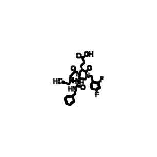 C#CCN1CC(=O)N2[C@@H](CCC(=O)O)C(=O)N(Cc3ccc(F)cc3F)C[C@@H]2N1C(=O)NCc1ccccc1